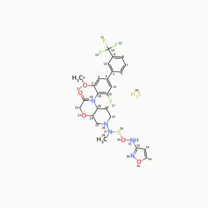 COc1cc(-c2cccc(C(F)(F)F)c2)cc(F)c1N1C(=O)COC2CN(N(C)SONc3ccon3)CCC21.S